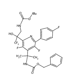 CC(C)(C)OC(=O)NCC(O)(c1nc(-c2ccc(F)cc2)c(F)c(C(C)(C)NC(=O)OCc2ccccc2)c1F)C(F)(F)F